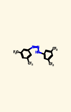 FC(F)(F)c1cc(/N=N\Nc2cc(C(F)(F)F)cc(C(F)(F)F)c2)cc(C(F)(F)F)c1